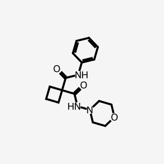 O=C(Nc1ccccc1)C1(C(=O)NN2CCOCC2)CCC1